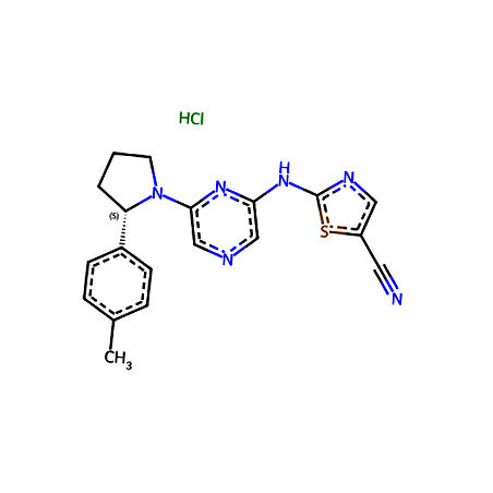 Cc1ccc([C@@H]2CCCN2c2cncc(Nc3ncc(C#N)s3)n2)cc1.Cl